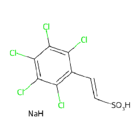 O=S(=O)(O)C=Cc1c(Cl)c(Cl)c(Cl)c(Cl)c1Cl.[NaH]